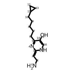 NC/C=C1/N=C(CCCCCC2CC2)C(O)=CN1